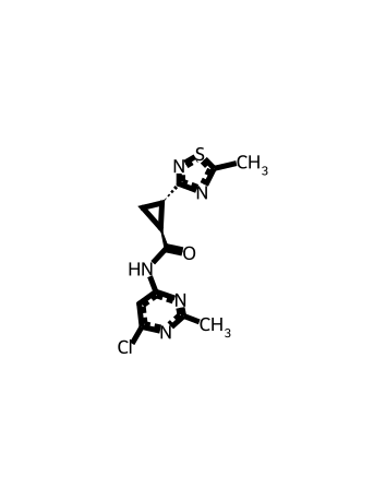 Cc1nc(Cl)cc(NC(=O)[C@H]2C[C@@H]2c2nsc(C)n2)n1